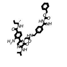 CC[C@H](C)NC(=O)c1ccc(-c2cnc(NC(C)C)c(=O)n2CC(=O)NCc2ccc(C(=N)NC(=O)OCc3ccccc3)cc2)c(N)c1